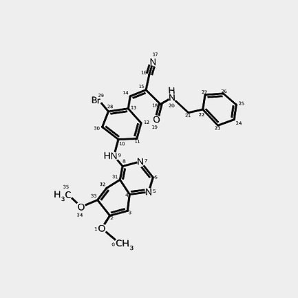 COc1cc2ncnc(Nc3ccc(C=C(C#N)C(=O)NCc4ccccc4)c(Br)c3)c2cc1OC